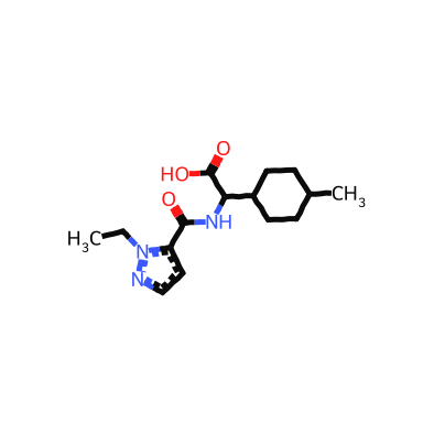 CCn1nccc1C(=O)NC(C(=O)O)C1CCC(C)CC1